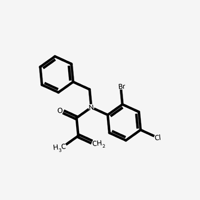 C=C(C)C(=O)N(Cc1ccccc1)c1ccc(Cl)cc1Br